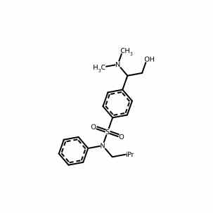 CC(C)CN(c1ccccc1)S(=O)(=O)c1ccc(C(CO)N(C)C)cc1